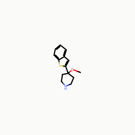 COC1(c2cc3ccccc3s2)CCNCC1